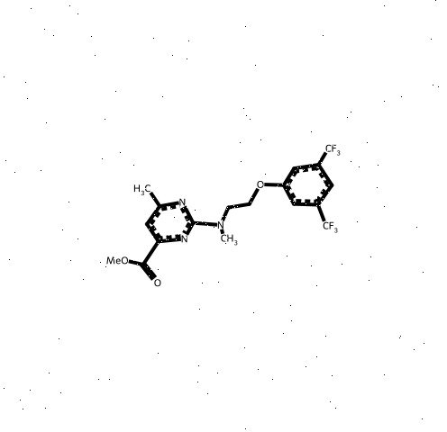 COC(=O)c1cc(C)nc(N(C)CCOc2cc(C(F)(F)F)cc(C(F)(F)F)c2)n1